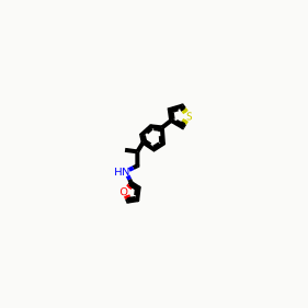 CC(CNc1ccco1)c1ccc(-c2ccsc2)cc1